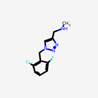 CNCc1cn(Cc2c(F)cccc2F)nn1